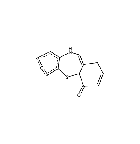 O=C1C=CCC2=CNc3ccccc3SC12